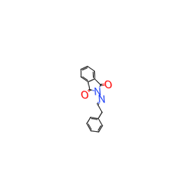 O=C1c2ccccc2C(=O)N1N=CCc1ccccc1